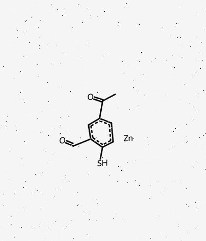 CC(=O)c1ccc(S)c(C=O)c1.[Zn]